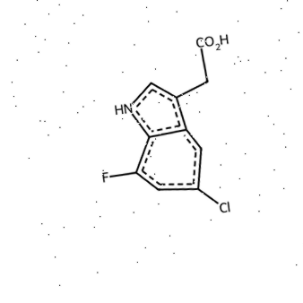 O=C(O)Cc1c[nH]c2c(F)cc(Cl)cc12